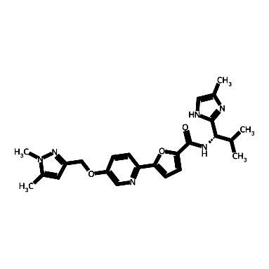 Cc1c[nH]c([C@@H](NC(=O)c2ccc(-c3ccc(OCc4cc(C)n(C)n4)cn3)o2)C(C)C)n1